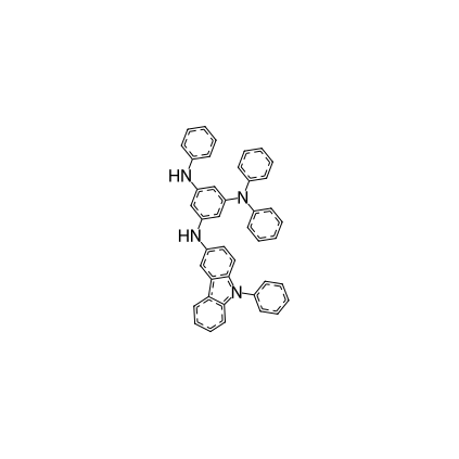 c1ccc(Nc2cc(Nc3ccc4c(c3)c3ccccc3n4-c3ccccc3)cc(N(c3ccccc3)c3ccccc3)c2)cc1